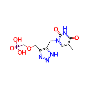 Cc1cn(Cc2[nH]nnc2COCP(=O)(O)O)c(=O)[nH]c1=O